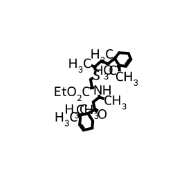 CCOC(=O)C(CSC(C)CC(=O)C1(C)CCC=CC1(C)C)NC(C)CC(=O)C1(C)CCC=CC1(C)C